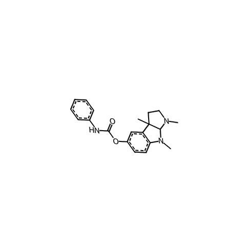 CN1CCC2(C)c3cc(OC(=O)Nc4ccccc4)ccc3N(C)C12